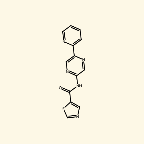 O=C(Nc1cnc(-c2ccccn2)cn1)c1cncs1